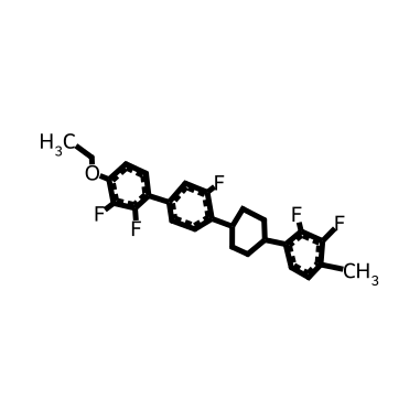 CCOc1ccc(-c2ccc(C3CCC(c4ccc(C)c(F)c4F)CC3)c(F)c2)c(F)c1F